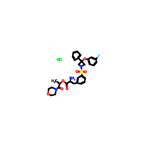 CC(OC(=O)[C@@H](N)Cc1cccc(S(=O)(=O)N2CC(Oc3cccc(F)c3)(c3ccccc3)C2)c1)C(=O)N1CCOCC1.Cl